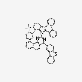 CC1(C)c2ccccc2-c2c1ccc1c3c4ccccc4c4ccccc4c3n(-c3nc(-c4ccc5sc6ccccc6c5c4)c4ccc5ccccc5c4n3)c21